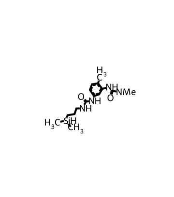 CNC(=O)Nc1cc(NC(=O)NCCC[SiH](C)C)ccc1C